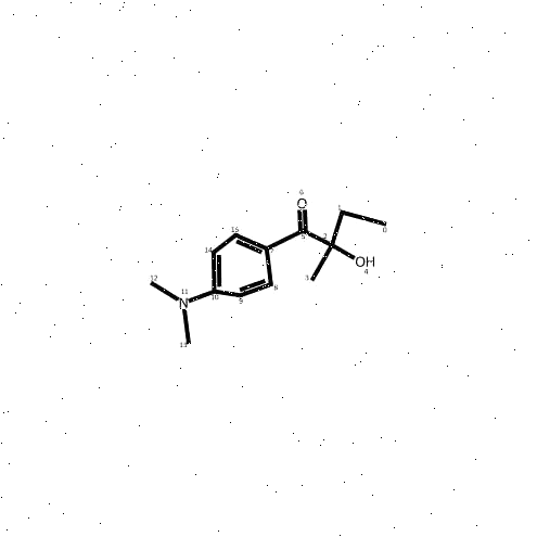 CCC(C)(O)C(=O)c1ccc(N(C)C)cc1